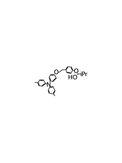 Cc1ccc(N(c2ccc(C)cc2)c2ccc(OCCc3ccc(OC(O)C(C)C)cc3)cc2)cc1